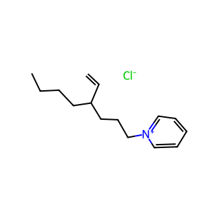 C=CC(CCCC)CCC[n+]1ccccc1.[Cl-]